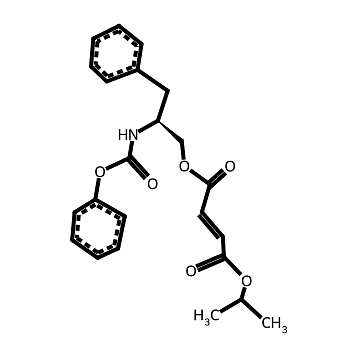 CC(C)OC(=O)/C=C/C(=O)OC[C@H](Cc1ccccc1)NC(=O)Oc1ccccc1